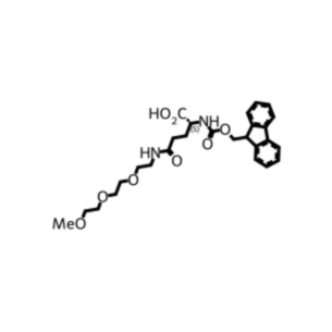 COCCOCCOCCNC(=O)CC[C@H](NC(=O)OCC1c2ccccc2-c2ccccc21)C(=O)O